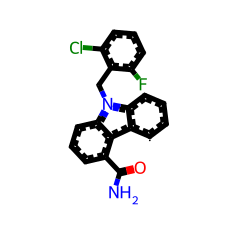 NC(=O)c1cccc2c1c1[c]cccc1n2Cc1c(F)cccc1Cl